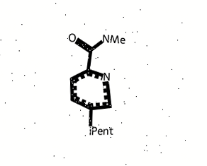 CCCC(C)c1ccc(C(=O)NC)nc1